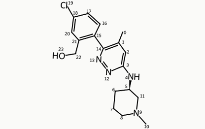 Cc1cc(N[C@@H]2CCCN(C)C2)nnc1-c1ccc(Cl)cc1CO